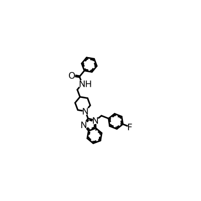 O=C(NCC1CCN(c2nc3ccccc3n2Cc2ccc(F)cc2)CC1)c1ccccc1